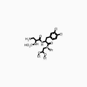 CCOC(CN(C(=O)C(Cc1ccc(Cl)c(Cl)c1)NC(=O)C(CN)NC(=O)O)C(C)C)OCC